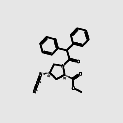 COC(=O)[C@@H]1C[C@H](N=[N+]=[N-])CN1C(=O)C(c1ccccc1)c1ccccc1